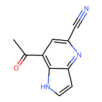 CC(=O)c1cc(C#N)nc2cc[nH]c12